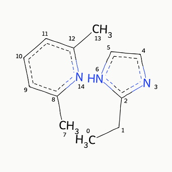 CCc1ncc[nH]1.Cc1cccc(C)n1